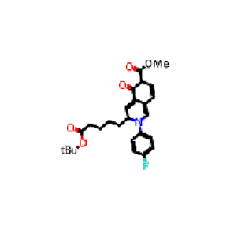 COC(=O)C1C=CC2=CN(c3ccc(F)cc3)C(CCCCC(=O)OC(C)(C)C)C=C2C1=O